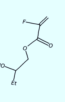 C=C(F)C(=O)OCC(O)CC